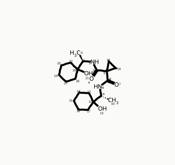 C[C@@H](NC(=O)C1(C(=O)N[C@H](C)C2(O)CCCCC2)CC1)C1(O)CCCCC1